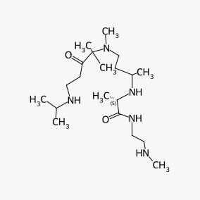 CNCCNC(=O)[C@H](C)NC(C)CCN(C)C(C)(C)C(=O)CCNC(C)C